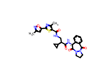 Cc1cc(-c2nc(C)c(C(=O)NCC(C(=O)N[C@@H]3C(=O)N4CCCN4C(=O)c4ccccc43)C3CC3)s2)on1